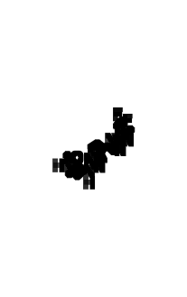 CC(=O)NC1(C)CC(Nc2ncc3c(-c4cnc5nc(C)n(CC(F)F)c5n4)ccn3n2)C1